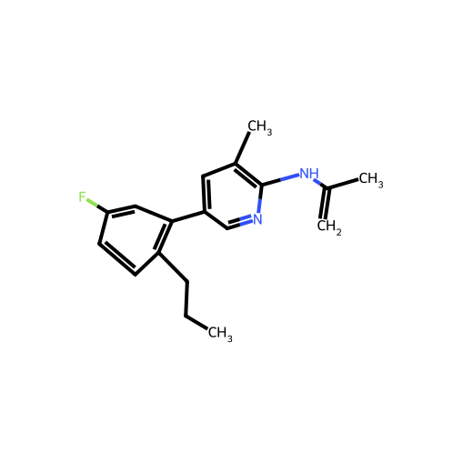 C=C(C)Nc1ncc(-c2cc(F)ccc2CCC)cc1C